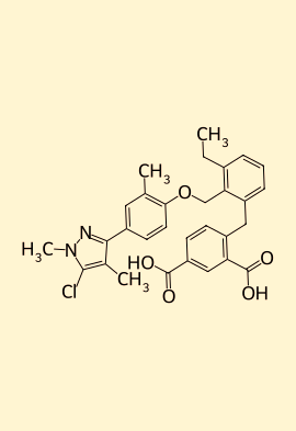 CCc1cccc(Cc2ccc(C(=O)O)cc2C(=O)O)c1COc1ccc(-c2nn(C)c(Cl)c2C)cc1C